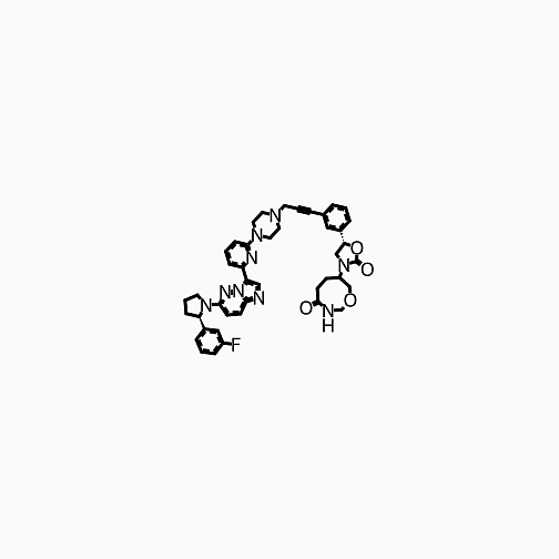 O=C1CCC(N2C[C@H](c3cccc(C#CCN4CCN(c5cccc(-c6cnc7ccc(N8CCC[C@@H]8c8cccc(F)c8)nn67)n5)CC4)c3)OC2=O)COCN1